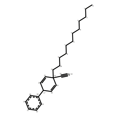 CCCCCCCCCCCCC1(C#N)C=CC(c2ccccc2)C=C1